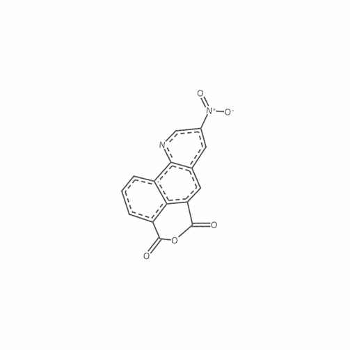 O=C1OC(=O)c2cc3cc([N+](=O)[O-])cnc3c3cccc1c23